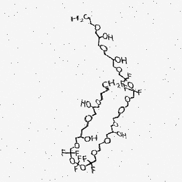 C=CCCOCC(O)COCCC(O)COCC(F)(F)OC(F)(F)OC(F)(F)COCCOCC(O)COCCOCOCC(F)(F)OC(F)(F)COCC(O)COCC(O)COCC=C